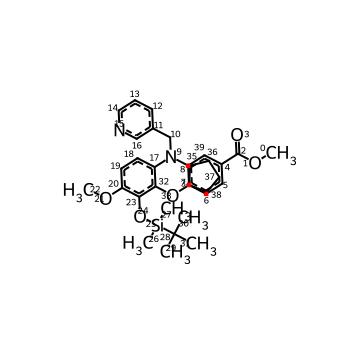 COC(=O)c1cccc(N(Cc2cccnc2)c2ccc(OC)c(O[Si](C)(C)C(C)(C)C)c2OC2CCCC2)c1